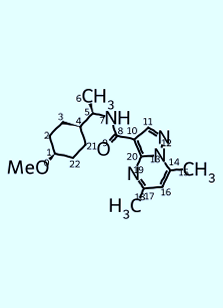 CO[C@H]1CC[C@@H]([C@@H](C)NC(=O)c2cnn3c(C)cc(C)nc23)CC1